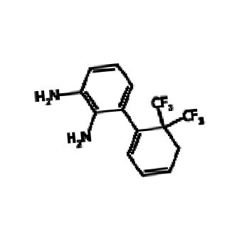 Nc1cccc(C2=CC=CCC2(C(F)(F)F)C(F)(F)F)c1N